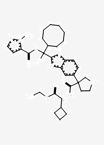 CCNC(=O)[C@H](NC(=O)C1(c2ccc3nc(C(C)(NC(=O)c4ccnn4C)C4CCCCCCC4)[nH]c3c2)CCOC1)C1CCC1